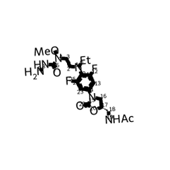 CCN(CCN(OC)C(=O)NN)c1c(F)cc(N2C[C@H](CNC(C)=O)OC2=O)cc1F